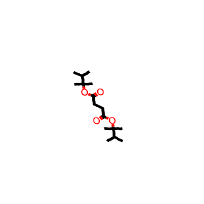 CC(C)C(C)(C)OC(=O)CCC(=O)OC(C)(C)C(C)C